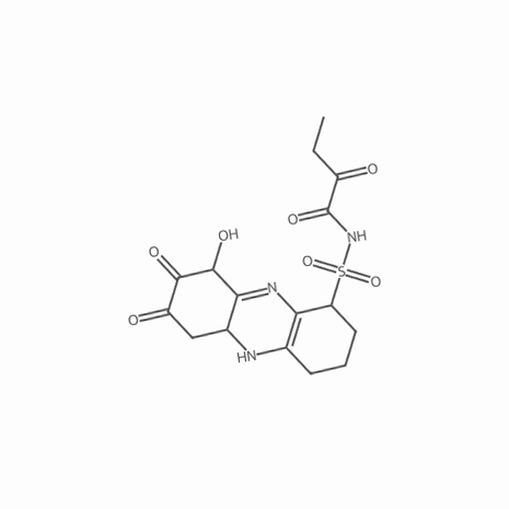 CCC(=O)C(=O)NS(=O)(=O)C1CCCC2=C1N=C1C(CC(=O)C(=O)C1O)N2